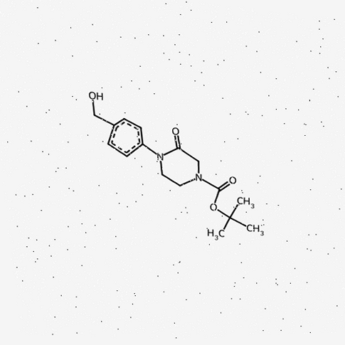 CC(C)(C)OC(=O)N1CCN(c2ccc(CO)cc2)C(=O)C1